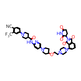 N#Cc1ccc(N2CCC(C(=O)Nc3ccc(N4CCC(OCCN5CCN(c6cccc7c6C(=O)N(C6CCC(=O)NC6=O)C7=O)CC5)CC4)cn3)CC2)cc1C(F)(F)F